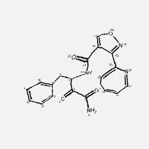 NC(=O)C(=O)C(Cc1ccccc1)NC(=O)c1conc1-c1ccccn1